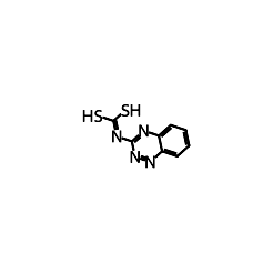 SC(S)=Nc1nnc2ccccc2n1